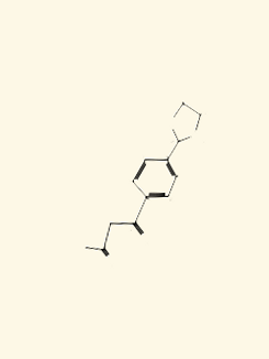 CCOC(=O)C(=O)CC(=O)c1ccc(C2OCCO2)cc1